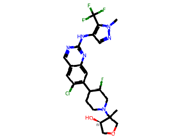 Cn1ncc(Nc2ncc3cc(Cl)c(C4CCN(C5(C)COC[C@H]5O)CC4F)cc3n2)c1C(F)(F)F